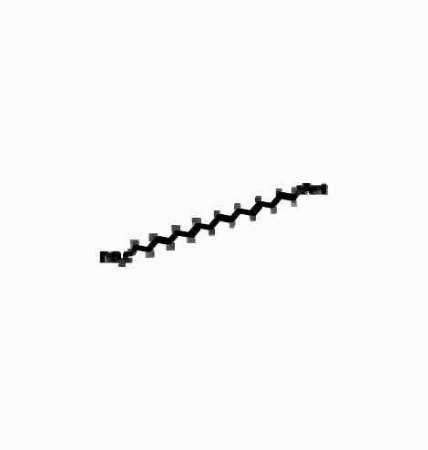 CCCCCC=CCC=CCC=CCC=CCC=CCCC(=O)OCC